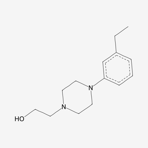 CCc1cccc(N2CCN(CCO)CC2)c1